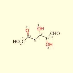 O=C[C@H](O)[C@@H](O)CC(=O)C(=O)O